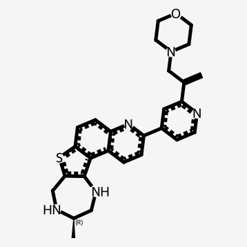 C=C(CN1CCOCC1)c1cc(-c2ccc3c(ccc4sc5c(c43)NC[C@@H](C)NC5)n2)ccn1